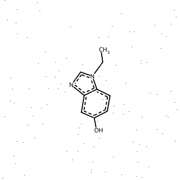 CCn1cnc2cc(O)ccc21